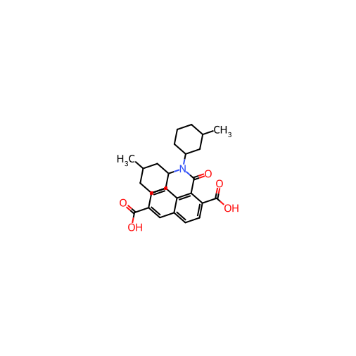 CC1CCCC(N(C(=O)c2c(C(=O)O)ccc3cc(C(=O)O)ccc23)C2CCCC(C)C2)C1